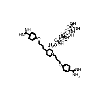 N=C(N)c1ccc(OCCCC2CCN(CCCOc3ccc(C(=N)N)cc3)CC2)cc1.O.O.O=P(O)(O)O.O=P(O)(O)O.O=P(O)(O)O